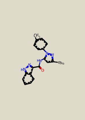 Cc1ccc(-n2nc(C(C)(C)C)cc2NC(=O)c2n[nH]c3ccccc23)cc1